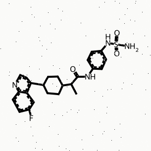 CC(C(=O)Nc1ccc(NS(N)(=O)=O)cc1)C1CCC(c2ccnc3ccc(F)cc23)CC1